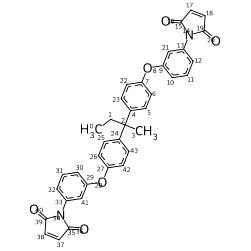 CCC(C)(c1ccc(Oc2cccc(N3C(=O)C=CC3=O)c2)cc1)c1ccc(Oc2cccc(N3C(=O)C=CC3=O)c2)cc1